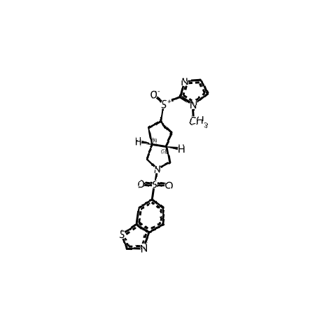 Cn1ccnc1[S+]([O-])C1C[C@@H]2CN(S(=O)(=O)c3ccc4ncsc4c3)C[C@@H]2C1